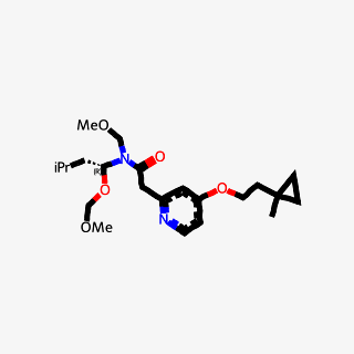 COCO[C@H](CC(C)C)N(COC)C(=O)Cc1cc(OCCC2(C)CC2)ccn1